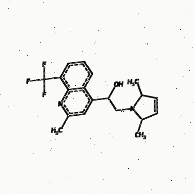 Cc1cc(C(O)CN2C(C)C=CC2C)c2cccc(C(F)(F)F)c2n1